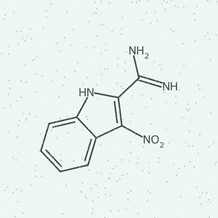 N=C(N)c1[nH]c2ccccc2c1[N+](=O)[O-]